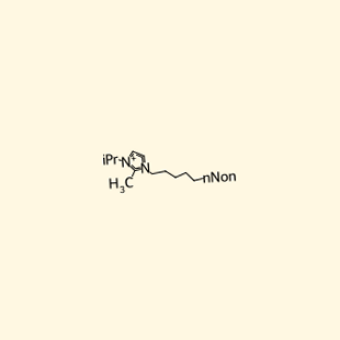 CCCCCCCCCCCCCCn1cc[n+](C(C)C)c1C